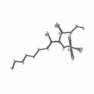 CCCCCCCC(S)C(CS(=O)(=O)O)C(O)CCC